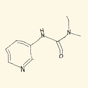 CN(C)C(=O)Nc1[c]nccc1